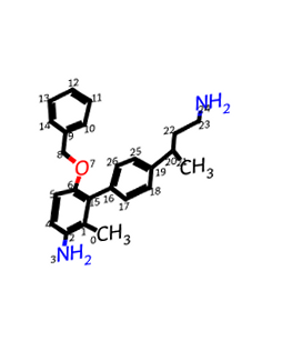 Cc1c(N)ccc(OCc2ccccc2)c1-c1ccc(C(C)CCN)cc1